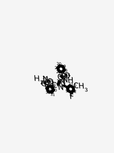 Cc1cc(F)cc(-c2nc(C(F)(F)F)cn2NS(=O)(=O)c2ccccc2)c1.NS(=O)(=O)c1ccccc1